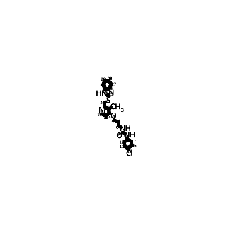 Cc1c(OCCCNC(=O)Nc2ccc(Cl)cc2)ccnc1CSc1nc2ccccc2[nH]1